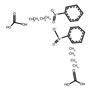 C.C.C.C.C.C.C.C.O=C(O)O.O=C(O)O.O=[N+]([O-])c1ccccc1.O=[N+]([O-])c1ccccc1